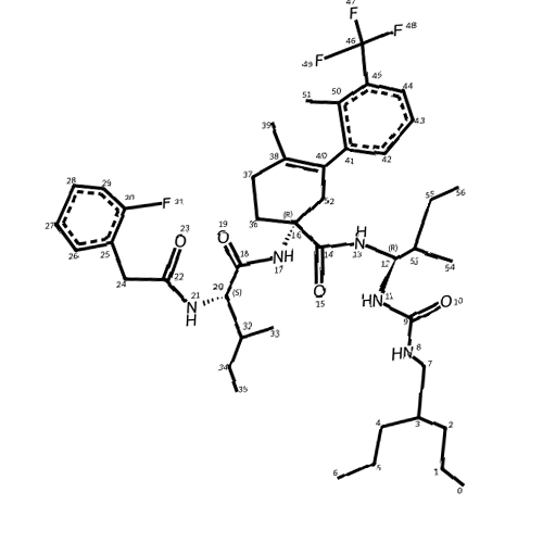 CCCC(CCC)CNC(=O)N[C@@H](NC(=O)[C@@]1(NC(=O)[C@@H](NC(=O)Cc2ccccc2F)C(C)CC)CCC(C)=C(c2cccc(C(F)(F)F)c2C)C1)C(C)CC